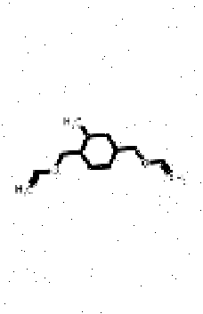 C=COCC1CCC(COC=C)C(C)C1